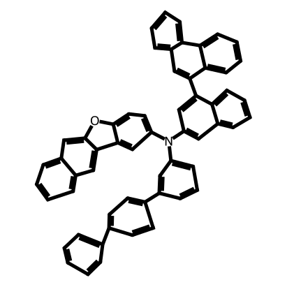 c1ccc(-c2ccc(-c3cccc(N(c4cc(-c5cc6ccccc6c6ccccc56)c5ccccc5c4)c4ccc5oc6cc7ccccc7cc6c5c4)c3)cc2)cc1